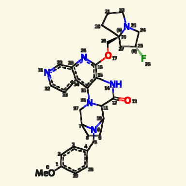 COc1ccc(CN2C3CCC2C2C(=O)Nc4c(OC[C@@]56CCCN5C[C@H](F)C6)nc5cnccc5c4N2C3)cc1